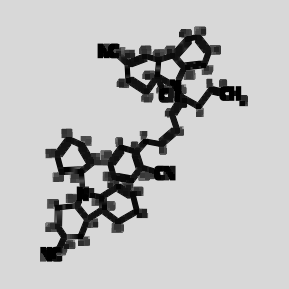 C=CC/C(=C\C=C/Cc1cc(-c2ccccc2N2C3=C(CCC=C3)C3CC(C#N)C=CC32)ccc1C#N)N1c2ccccc2C2C=C(C#N)C=CC21C